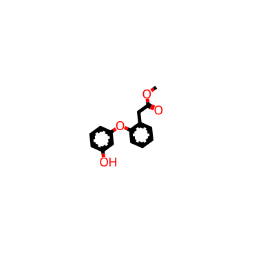 COC(=O)Cc1ccccc1Oc1cccc(O)c1